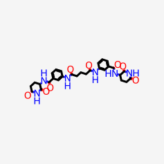 O=C1CCC(NC(=O)c2cccc(NC(=O)CCCC(=O)Nc3cccc(C(=O)NC4CCC(=O)NC4=O)c3)c2)C(=O)N1